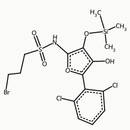 C[Si](C)(C)Oc1c(NS(=O)(=O)CCCBr)oc(-c2c(Cl)cccc2Cl)c1O